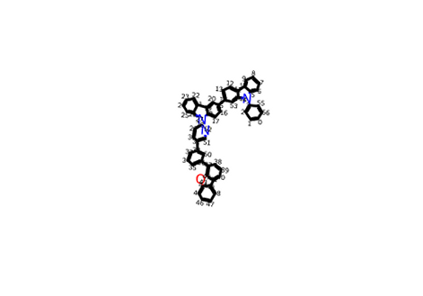 c1ccc(-n2c3ccccc3c3ccc(-c4ccc5c(c4)c4ccccc4n5-c4ccc(-c5cccc(-c6cccc7c6oc6ccccc67)c5)cn4)cc32)cc1